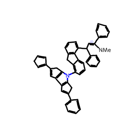 CN/C(=C\C(c1ccccc1)c1cccc2c1-c1cccc(-n3c4c(c5c3CC(c3ccccc3)=C5)C=C(C3=CCC=C3)C4)c1C2)c1ccccc1